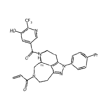 C=CC(=O)N1CCc2nn(-c3ccc(C(C)C)cc3)c3c2[C@@H](C1)N(C(=O)c1cnc(C(F)(F)F)c(O)c1)CC3